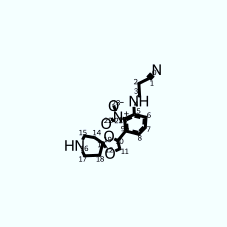 N#CCCNc1cccc(C2COC3(CCNCC3)O2)c1[N+](=O)[O-]